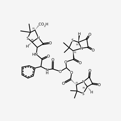 CC1(C)S[C@@H]2C(=O)C(=O)N2[C@H]1C(=O)OC(OC(=O)NC(C(=O)NC1C(=O)N2[C@@H]1SC(C)(C)[C@@H]2C(=O)O)c1ccccc1)OC(=O)[C@@H]1N2C(=O)C(=O)[C@H]2SC1(C)C